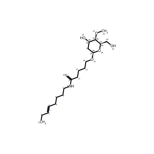 CC/C=C/CCCCNC(=S)CCCCO[C@H]1C[C@@H](O)[C@@H](OC)[C@@H](CO)O1